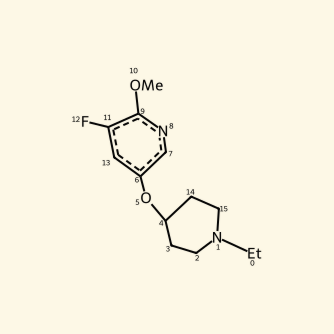 CCN1CCC(Oc2cnc(OC)c(F)c2)CC1